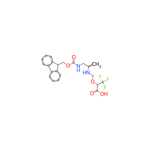 C=C(CNC(=O)OCC1c2ccccc2-c2ccccc21)NCOC(C(=O)O)C(F)(F)F